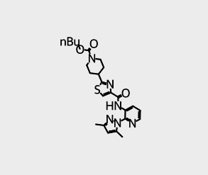 CCCCOC(=O)N1CCC(c2nc(C(=O)Nc3cccnc3-n3nc(C)cc3C)cs2)CC1